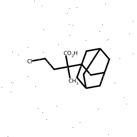 CC(CCCl)(C(=O)O)C12CC3CC(CC(C3)C1)C2